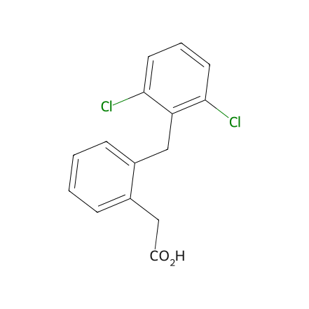 O=C(O)Cc1ccccc1Cc1c(Cl)cccc1Cl